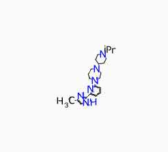 Cc1c[nH]c(-c2cccc(N3CCCN(C4CCN(C(C)C)CC4)CC3)n2)n1